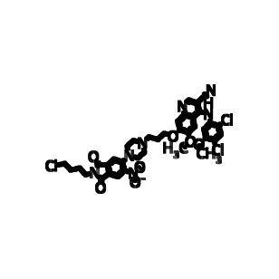 COc1cc(Nc2c(C#N)cnc3cc(OCCCN4CCN(c5cc6c(cc5[N+](=O)[O-])C(=O)N(CCCCCl)C6=O)CC4)c(OC)cc23)c(Cl)cc1Cl